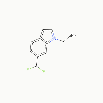 C[C](C)Cn1ccc2ccc(C(F)F)cc21